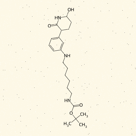 CC(C)(C)OC(=O)NCCCCCCNc1cccc(C2CCC(O)NC2=O)c1